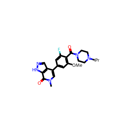 COc1cc(-c2cn(C)c(=O)c3[nH]ncc23)cc(F)c1C(=O)N1CCN(C(C)C)CC1